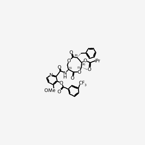 COc1ccnc(C(=O)N[C@H]2COC(=O)[C@H](Cc3ccccc3)[C@@H](OC(=O)C(C)C)[C@H](C)OC2=O)c1OC(=O)c1cccc(C(F)(F)F)c1